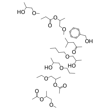 CC(=O)CC(C)C.CCC(=O)OC(C)COC.CCCCOCC(C)O.CCCOCC(C)O.CCOCC(C)OC(C)=O.COCC(C)O.COCC(C)OC(C)=O.OCc1ccccc1